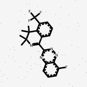 CC1(C)N=C(c2nnc3c(F)cccc3n2)c2cccc(C(F)(F)F)c2C1(C)C